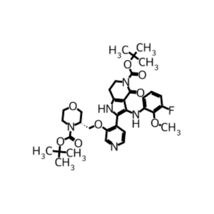 COc1c(F)cccc1Nc1c(-c2ccncc2OC[C@H]2COCCN2C(=O)OC(C)(C)C)[nH]c2c1C(=O)N(C(=O)OC(C)(C)C)CC2